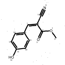 COC(=O)C(C#N)=Cc1ccc(O)cc1